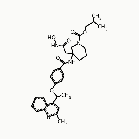 Cc1cc(C(C)Oc2ccc(C(=O)NC3(CC(=O)NO)CCCN(C(=O)OCC(C)C)C3)cc2)c2ccccc2n1